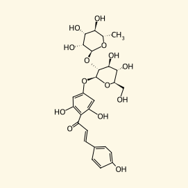 C[C@@H]1O[C@@H](O[C@H]2[C@H](Oc3cc(O)c(C(=O)/C=C/c4ccc(O)cc4)c(O)c3)O[C@H](CO)[C@@H](O)[C@@H]2O)[C@H](O)[C@H](O)[C@H]1O